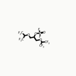 O=P(F)(F)OC(COC(C(F)(F)F)C(F)(F)F)COC(C(F)(F)F)C(F)(F)F